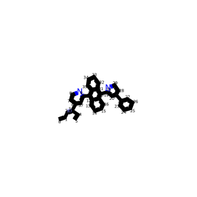 C=C/C=C(\C=C)c1ccnc(-c2c3ccccc3c(-c3cc(-c4ccccc4)ccn3)c3ccccc23)c1